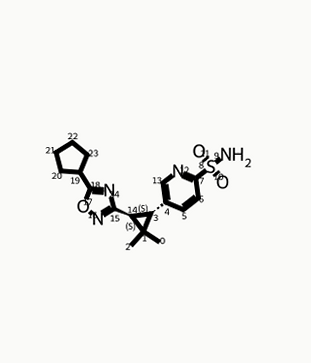 CC1(C)[C@@H](c2ccc(S(N)(=O)=O)nc2)[C@@H]1c1noc(C2CCCC2)n1